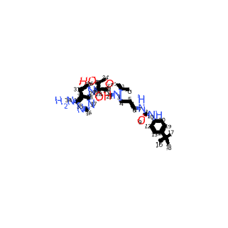 CC(C)N(CCCNC(=O)Nc1ccc(C(C)(C)C)cc1)C[C@H]1OC[C@H](O)[C@@]1(O)n1ccc2c(N)ncnc21